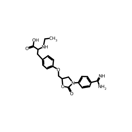 CCNC(Cc1ccc(OCC2CN(c3ccc(C(=N)N)cc3)C(=O)O2)cc1)C(=O)O